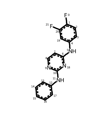 Fc1ccc(Nc2ccnc(Nc3ccccc3)n2)cc1F